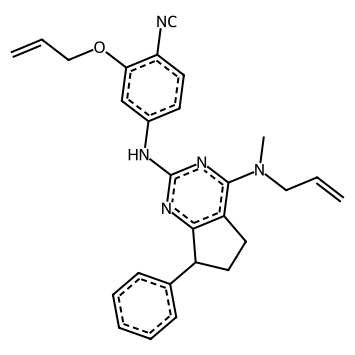 [C-]#[N+]c1ccc(Nc2nc3c(c(N(C)CC=C)n2)CCC3c2ccccc2)cc1OCC=C